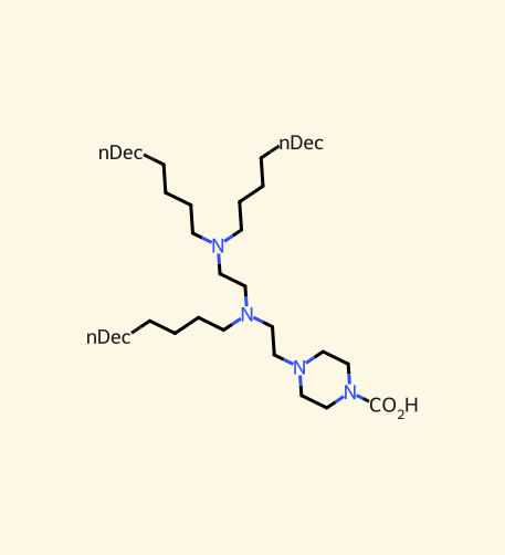 CCCCCCCCCCCCCCN(CCCCCCCCCCCCCC)CCN(CCCCCCCCCCCCCC)CCN1CCN(C(=O)O)CC1